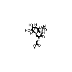 COC(=O)COC1=CN2C(=C(OP(=O)(Cl)Cl)[C@H]3O[C@@H]2[C@@H](O)[C@H]3O)NC1=O